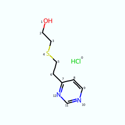 Cl.OCCSCCc1ccncn1